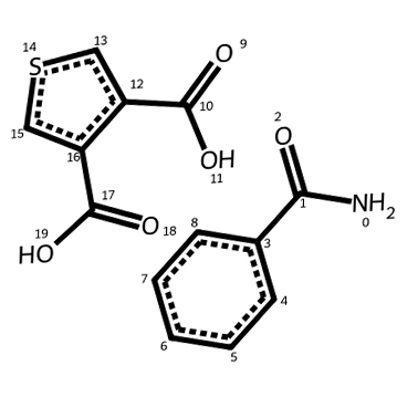 NC(=O)c1ccccc1.O=C(O)c1cscc1C(=O)O